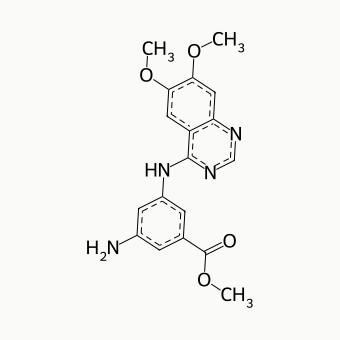 COC(=O)c1cc(N)cc(Nc2ncnc3cc(OC)c(OC)cc23)c1